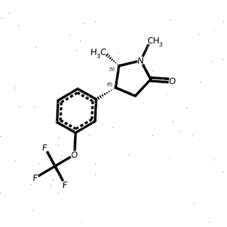 C[C@H]1[C@@H](c2cccc(OC(F)(F)F)c2)CC(=O)N1C